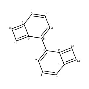 C1=c2cccc(-c3cccc4c3=CC=4)c2=C1